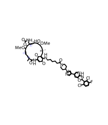 COC1/C=C\C=C(/C)C(=O)NC2=CC(=O)C(NCCCCCC(=O)N3CCC(n4cc(-c5cnc6c(c5)OC(c5c(Cl)ccc(F)c5Cl)N6)cn4)CC3)=C(C[C@@H](C)CC(OC)C(O)C/C=C(\C)C1OC(N)=O)C2=O